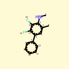 CNc1c(C)cc(-c2ccccc2)c(F)c1F